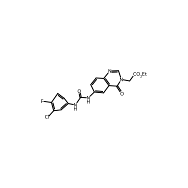 CCOC(=O)Cn1cnc2ccc(NC(=O)Nc3ccc(F)c(Cl)c3)cc2c1=O